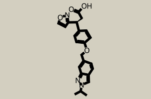 CC(C)n1cc2ccc(COc3ccc([C@H](CC(=O)O)c4ccon4)cc3)cc2n1